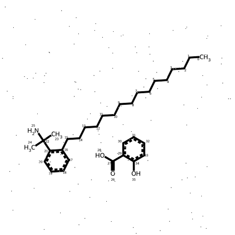 CCCCCCCCCCCCCCCCc1ccccc1C(C)(C)N.O=C(O)c1ccccc1O